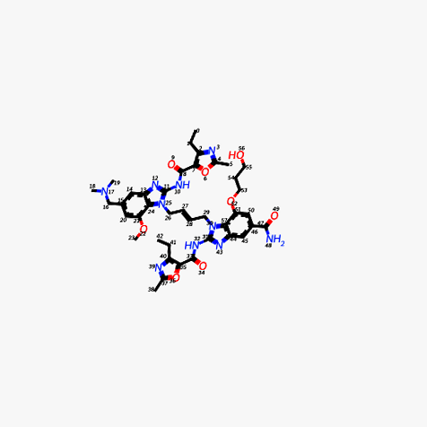 CCc1nc(C)oc1C(=O)Nc1nc2cc(CN(C)C)cc(OC)c2n1C/C=C/Cn1c(NC(=O)c2oc(C)nc2CC)nc2cc(C(N)=O)cc(OCCCO)c21